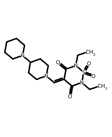 CCN1C(=O)C(=CN2CCC(N3CCCCC3)CC2)C(=O)N(CC)S1(=O)=O